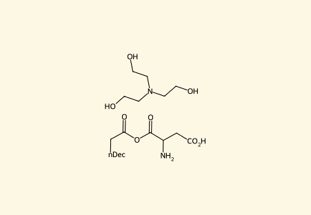 CCCCCCCCCCCC(=O)OC(=O)C(N)CC(=O)O.OCCN(CCO)CCO